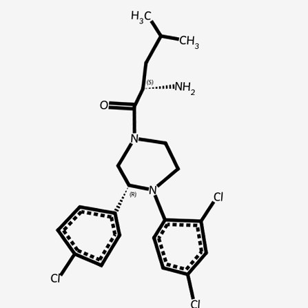 CC(C)C[C@H](N)C(=O)N1CCN(c2ccc(Cl)cc2Cl)[C@H](c2ccc(Cl)cc2)C1